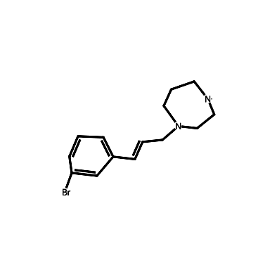 Brc1cccc(C=CCN2CCC[N]CC2)c1